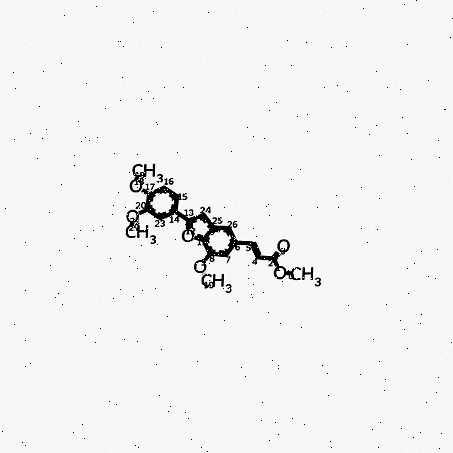 COC(=O)/C=C/c1cc(OC)c2oc(-c3ccc(OC)c(OC)c3)cc2c1